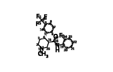 CN1CC[C@H](c2cccc(C(F)(F)F)c2)[C@@H](C(=O)Nc2ccccc2F)C1